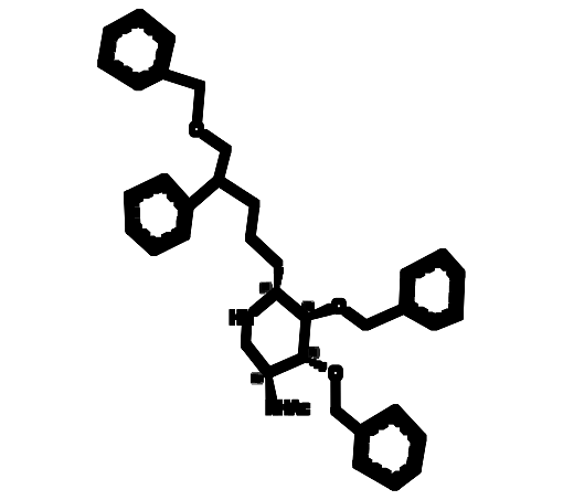 CC(=O)N[C@H]1CN[C@H](CCCC(COCc2ccccc2)c2ccccc2)[C@@H](OCc2ccccc2)[C@@H]1OCc1ccccc1